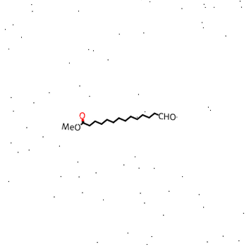 COC(=O)CCCCCCCCCCCC[C]=O